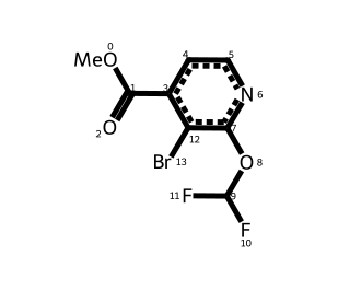 COC(=O)c1ccnc(OC(F)F)c1Br